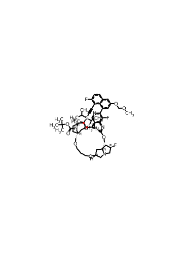 COCOc1cc(-c2ncc3c4nc(nc3c2F)OC[C@]23C[C@@H](F)CN2C[C@@H](C3)OCCCOC[C@@]23CC[C@@H](CN4C2)N3C(=O)OC(C)(C)C)c2c(C#C[Si](C(C)C)(C(C)C)C(C)C)c(F)ccc2c1